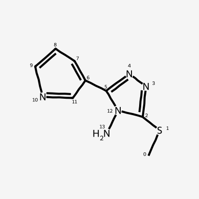 CSc1nnc(-c2cccnc2)n1N